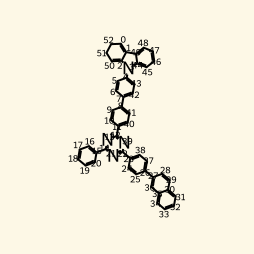 C1=c2c(n(-c3ccc(-c4ccc(-c5nc(-c6ccccc6)nc(-c6ccc(-c7ccc8ccccc8c7)cc6)n5)cc4)cc3)c3ccccc23)=CCC1